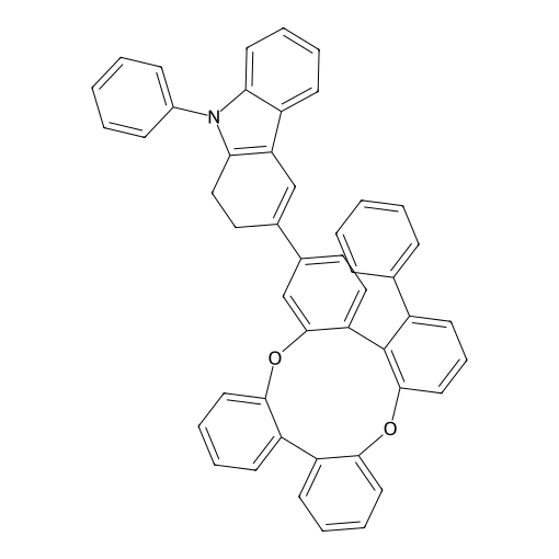 C1=C(c2ccc3c(c2)Oc2ccccc2-c2ccccc2Oc2cccc(-c4ccccc4)c2-3)CCc2c1c1ccccc1n2-c1ccccc1